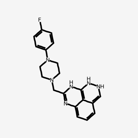 Fc1ccc(N2CCN(CC3=Nc4cccc5c4=C(NNC=5)N3)CC2)cc1